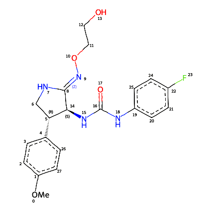 COc1ccc([C@@H]2CN/C(=N\OCCO)[C@H]2NC(=O)Nc2ccc(F)cc2)cc1